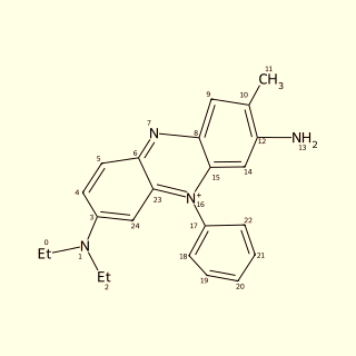 CCN(CC)c1ccc2nc3cc(C)c(N)cc3[n+](-c3ccccc3)c2c1